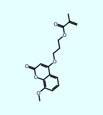 C=C(C)C(=O)OCCCOc1cc(=O)oc2c(OC)cccc12